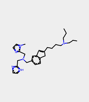 CCCN(CCC)CCCCC1=Cc2cc(CN(Cc3ncc[nH]3)Cc3nccn3C)ccc2C1